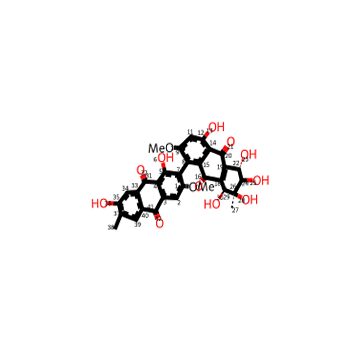 COc1cc2c(c(O)c1-c1c(OC)cc(O)c3c1C(=O)C1=C(C3=O)[C@H](O)C(O)[C@@](C)(O)[C@H]1O)C(=O)c1cc(O)c(C)cc1C2=O